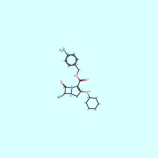 CC(C)C1C(=O)N2C(C(=O)OCc3ccc([N+](=O)[O-])cc3)=C(SC3CCCCC3)CC12